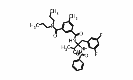 CCCN(CCC)C(=O)c1cc(C)cc(C(=O)NC(Cc2cc(F)cc(F)c2)(NS(=O)(=O)c2ccccc2)C(C)O)c1